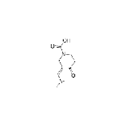 CN(C)/C=C1/CN(C(=O)O)CCC1=O